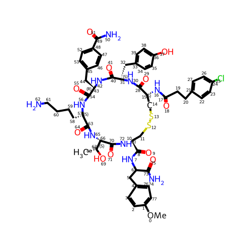 COc1ccc(CC(NC(=O)[C@@H]2CSSC[C@@H](NC(=O)CCc3ccc(Cl)cc3)C(=O)N[C@@H](Cc3ccc(O)cc3)C(=O)N[C@H](Cc3ccc(C(N)=O)cc3)C(=O)N[C@@H](CCCCN)C(=O)N[C@@H]([C@@H](C)O)C(=O)N2)C(N)=O)cc1